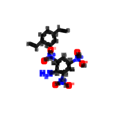 C=Cc1ccc(C=C)cc1.Nc1c([N+](=O)[O-])cc([N+](=O)[O-])cc1[N+](=O)[O-]